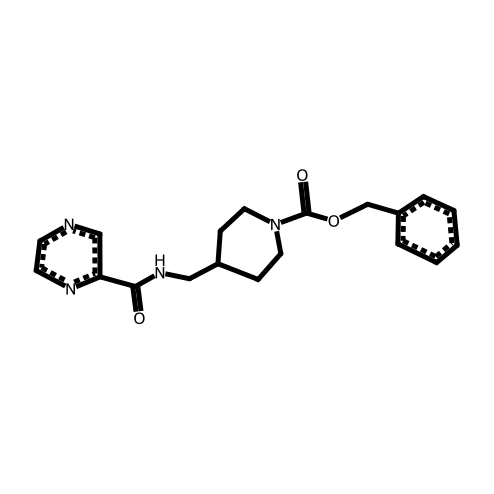 O=C(NCC1CCN(C(=O)OCc2ccccc2)CC1)c1cnccn1